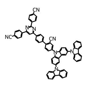 N#Cc1ccc(-c2cc(-c3ccc(-c4ccc(-n5c6ccc(-n7c8ccccc8c8ccccc87)cc6c6cc(-n7c8ccccc8c8ccccc87)ccc65)cc4C#N)cc3)nc(-c3ccc(C#N)cc3)n2)cc1